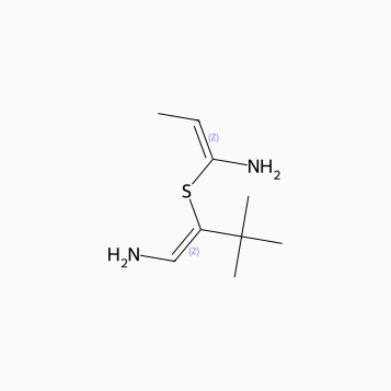 C/C=C(/N)S/C(=C\N)C(C)(C)C